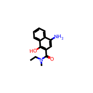 CCN(C)C(=O)c1cc(N)c2ccccc2c1O